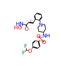 O=C(/C=C/c1ccccc1N1CCC(NS(=O)(=O)c2ccc(OC(F)F)cc2)CC1)NO